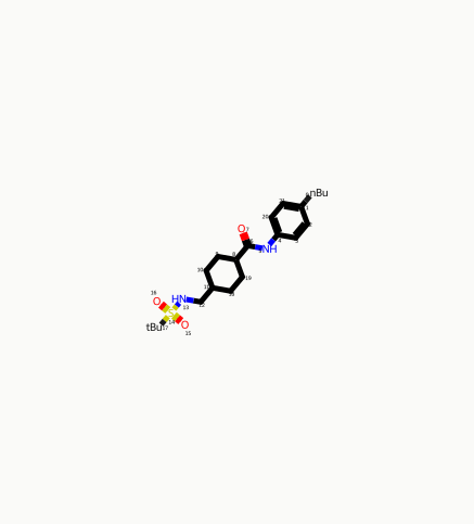 CCCCc1ccc(NC(=O)C2CCC(CNS(=O)(=O)C(C)(C)C)CC2)cc1